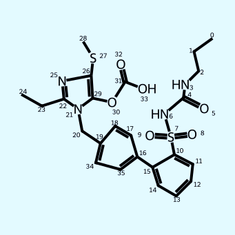 CCCNC(=O)NS(=O)(=O)c1ccccc1-c1ccc(Cn2c(CC)nc(SC)c2OC(=O)O)cc1